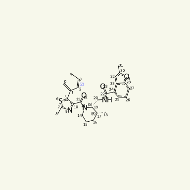 C=C(/C=C\C)c1sc(C)nc1C(=O)N1CCC[C@@H](C)[C@H]1CNC(=O)c1cccc2oc(C)cc12